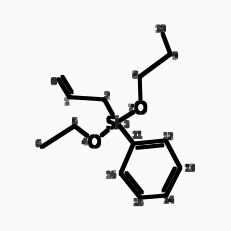 C=CC[Si](OCC)(OCCC)c1ccccc1